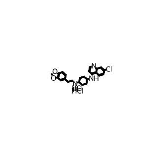 Cl.Cl.Clc1ccc2c(NC3CCC(NCCc4ccc5c(c4)OCO5)CC3)ccnc2c1